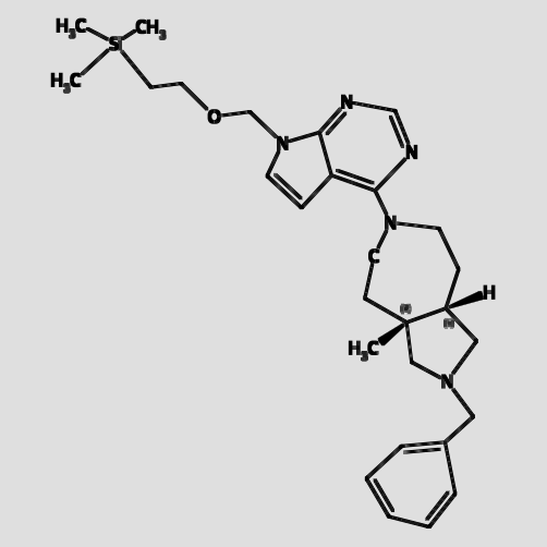 C[C@@]12CCN(c3ncnc4c3ccn4COCC[Si](C)(C)C)CC[C@@H]1CN(Cc1ccccc1)C2